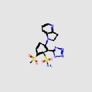 CS(=O)(=O)c1ccc(N2CCc3ncccc32)c(-c2nnn[nH]2)c1S(N)(=O)=O